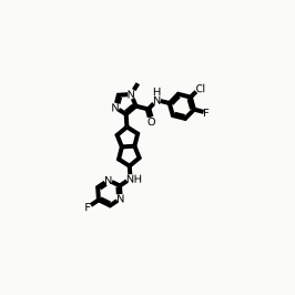 Cn1cnc(C2CC3CC(Nc4ncc(F)cn4)CC3C2)c1C(=O)Nc1ccc(F)c(Cl)c1